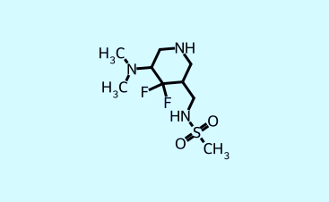 CN(C)C1CNCC(CNS(C)(=O)=O)C1(F)F